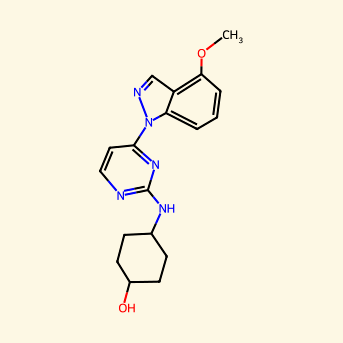 COc1cccc2c1cnn2-c1ccnc(NC2CCC(O)CC2)n1